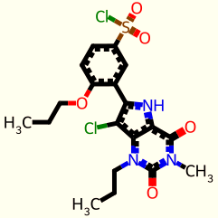 CCCOc1ccc(S(=O)(=O)Cl)cc1-c1[nH]c2c(=O)n(C)c(=O)n(CCC)c2c1Cl